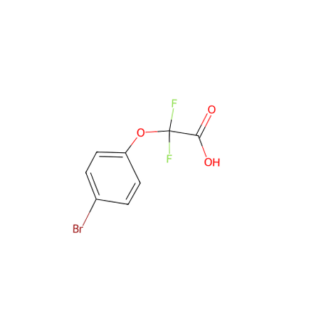 O=C(O)C(F)(F)Oc1ccc(Br)cc1